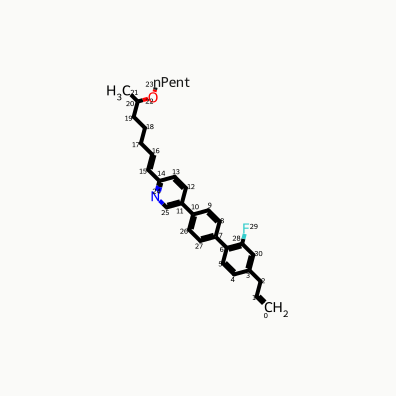 C=CCc1ccc(-c2ccc(-c3ccc(C=CCCCC(C)OCCCCC)nc3)cc2)c(F)c1